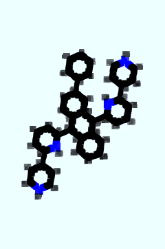 c1ccc(-c2ccc3c(-c4cccc(-c5ccncc5)n4)c4ccccc4c(-c4cccc(-c5ccncc5)n4)c3c2)cc1